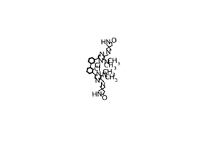 CN(C)c1nc(-c2cccc(-c3cccc(-c4cnc(CN5CC6(CNC(=O)C6)C5)c(N(C)C)n4)c3Cl)c2Cl)cnc1CN1CC2(CNC(=O)C2)C1